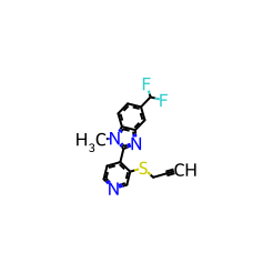 C#CCSc1cnccc1-c1nc2cc(C(F)F)ccc2n1C